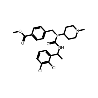 COC(=O)c1ccc(CN(C(=O)NC(C)c2cccc(Cl)c2Cl)C2CCN(C)CC2)cc1